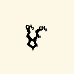 C=C/C=C1/CCC/C1=N/C=C